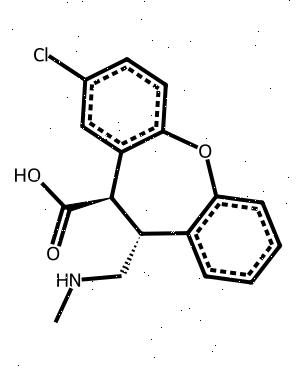 CNC[C@H]1c2ccccc2Oc2ccc(Cl)cc2[C@@H]1C(=O)O